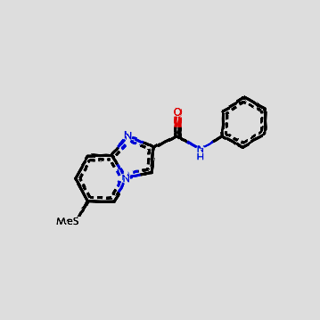 CSc1ccc2nc(C(=O)Nc3ccccc3)cn2c1